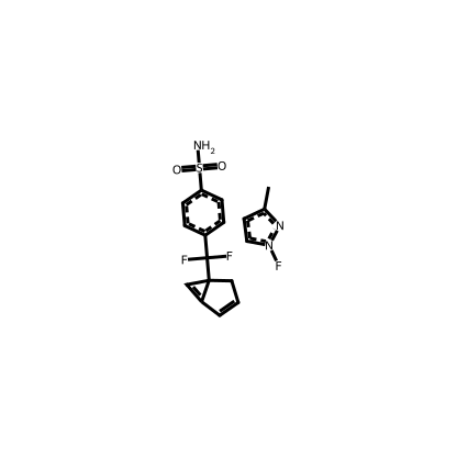 Cc1ccn(F)n1.NS(=O)(=O)c1ccc(C(F)(F)C23C=C2C=CC3)cc1